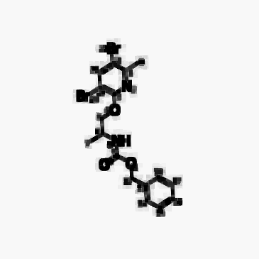 Cc1nc(OCC(C)NC(=O)OCc2ccccc2)c(Br)cc1Br